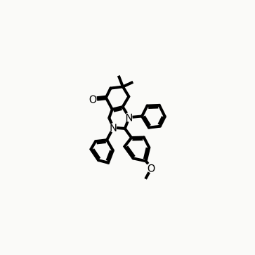 COc1ccc(C2N(c3ccccc3)CC3=C(CC(C)(C)CC3=O)N2c2ccccc2)cc1